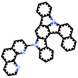 c1ccc2c(c1)ccc1c2c2c3c4ccccc4n(-c4ccc5ccc6cccnc6c5n4)c3cc3c4ccccc4n1c32